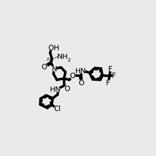 N[C@@H](CO)C(=O)N1CCC(COC(=O)Nc2ccc(C(F)(F)F)cc2)(C(=O)NCc2ccccc2Cl)CC1